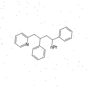 CCCC(CC(Cc1ccccn1)c1ccccc1)c1ccccc1